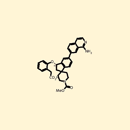 COC(=O)N1CCC2(CC1)C[C@H](Oc1ccccc1CC(=O)O)c1cc(-c3ccc4ccnc(N)c4c3)ccc12